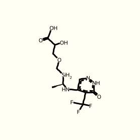 C[C@H](Nc1cn[nH]c(=O)c1C(F)(F)F)[SiH2]COCC(O)C(=O)O